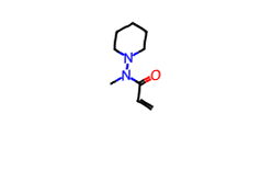 C=CC(=O)N(C)N1CCCCC1